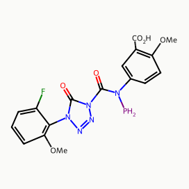 COc1ccc(N(P)C(=O)n2nnn(-c3c(F)cccc3OC)c2=O)cc1C(=O)O